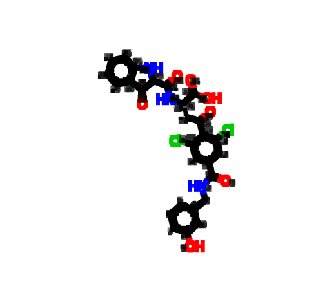 O=C(NCc1cccc(O)c1)c1cc(Cl)c(C(=O)C[C@H](NC(=O)C2Nc3ccccc3C2=O)C(=O)O)c(Cl)c1